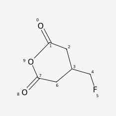 O=C1CC(CF)CC(=O)O1